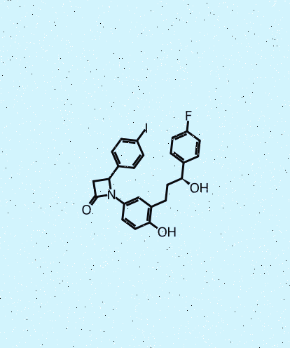 O=C1CC(c2ccc(I)cc2)N1c1ccc(O)c(CC[C@H](O)c2ccc(F)cc2)c1